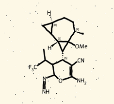 COC12C([C@@H]3C(C#N)=C(N)OC(N=N)C3C(C)C(F)(F)F)[C@@H]1C1C[C@H]1CC[C@H]2C